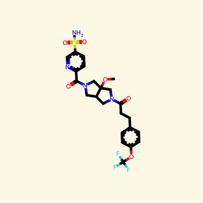 COC12CN(C(=O)CCc3ccc(OC(F)(F)F)cc3)CC1CN(C(=O)c1ccc(S(N)(=O)=O)cn1)C2